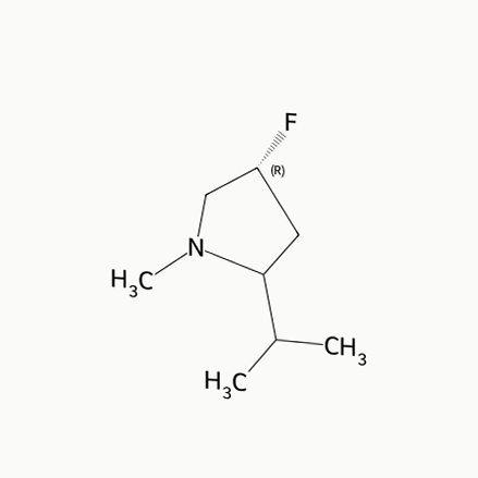 CC(C)C1C[C@@H](F)CN1C